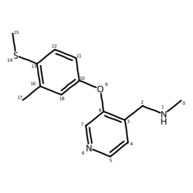 CNCc1ccncc1Oc1ccc(SC)c(C)c1